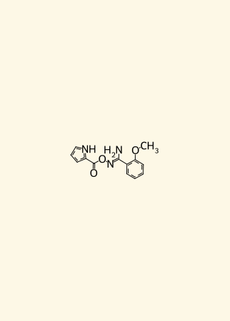 COc1ccccc1/C(N)=N/OC(=O)c1ccc[nH]1